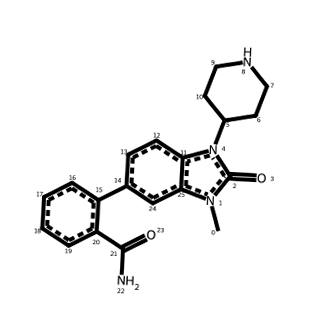 Cn1c(=O)n(C2CCNCC2)c2ccc(-c3ccccc3C(N)=O)cc21